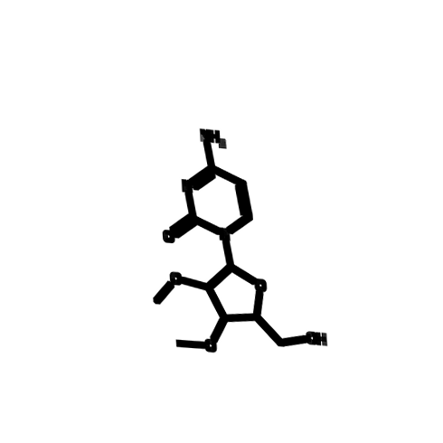 COC1C(CO)OC(n2ccc(N)nc2=O)C1OC